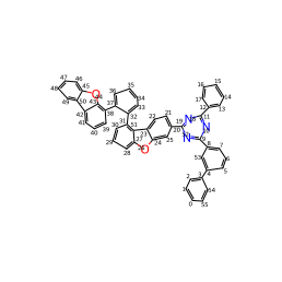 c1ccc(-c2cccc(-c3nc(-c4ccccc4)nc(-c4ccc5c(c4)oc4cccc(-c6ccccc6-c6cccc7c6oc6ccccc67)c45)n3)c2)cc1